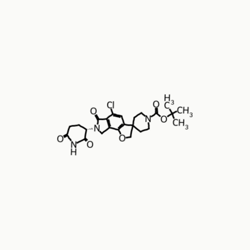 CC(C)(C)OC(=O)N1CCC2(CC1)COc1c2cc(Cl)c2c1CN([C@H]1CCC(=O)NC1=O)C2=O